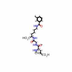 Cc1cccc(C(=O)NCCCCC(NC(=O)CNC(=O)[C@@H](CCC(=O)O)NC=O)C(=O)O)c1